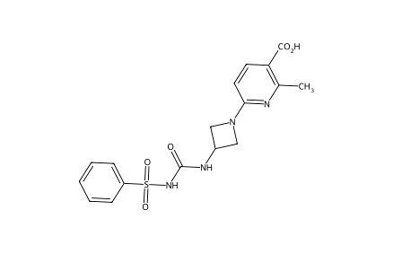 Cc1nc(N2CC(NC(=O)NS(=O)(=O)c3ccccc3)C2)ccc1C(=O)O